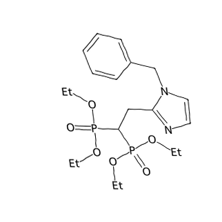 CCOP(=O)(OCC)C(Cc1nccn1Cc1ccccc1)P(=O)(OCC)OCC